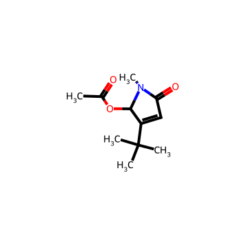 CC(=O)OC1C(C(C)(C)C)=CC(=O)N1C